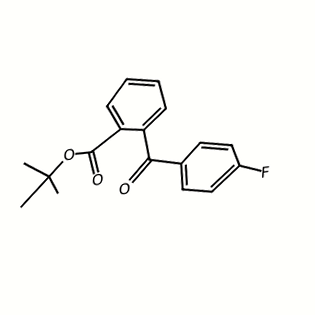 CC(C)(C)OC(=O)c1ccccc1C(=O)c1ccc(F)cc1